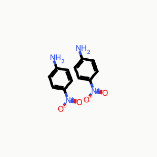 Nc1ccc([N+](=O)[O-])cc1.Nc1ccc([N+](=O)[O-])cc1